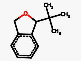 CC(C)(C)C1OCc2ccccc21